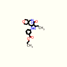 CCCOC(=O)c1cccc(-n2nc(CC)c3c2CC2(CCOCC2)CNC3=O)c1